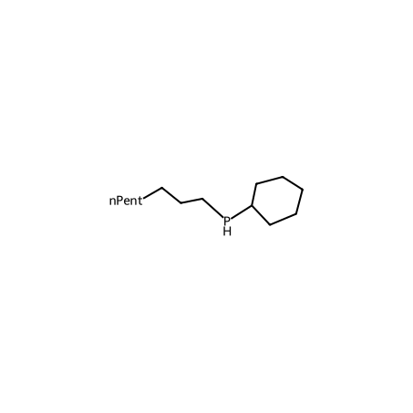 CCCCCCCCPC1CCCCC1